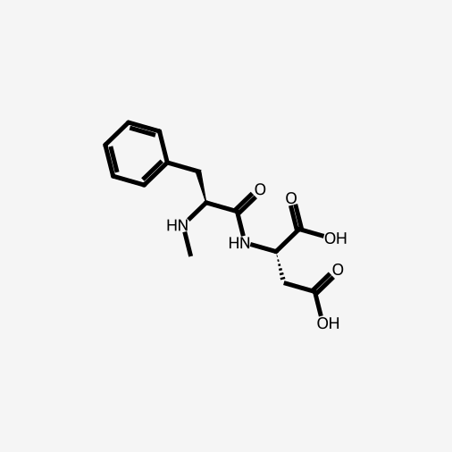 CN[C@@H](Cc1ccccc1)C(=O)N[C@@H](CC(=O)O)C(=O)O